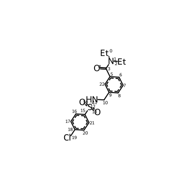 CCN(CC)C(=O)c1cccc(CNS(=O)(=O)c2ccc(Cl)cc2)c1